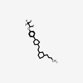 CCCCC1CCCC(CCC2CCC(c3ccc(OC(F)C(F)(F)F)cc3)CC2)C1